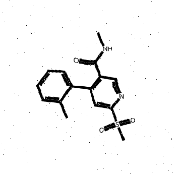 CNC(=O)c1cnc(S(C)(=O)=O)cc1-c1ccccc1C